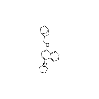 c1ccc2c([S+]3CCCC3)ccc(OCC3CC4CCC3C4)c2c1